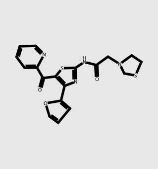 O=C(CN1CCSC1)Nc1nc(-c2ccco2)c(C(=O)c2ccccn2)s1